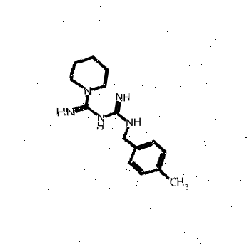 Cc1ccc(CNC(=N)NC(=N)N2CCCCC2)cc1